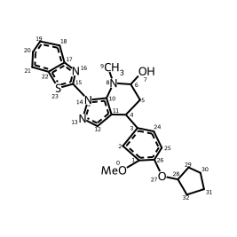 COc1cc(C2CC(O)N(C)c3c2cnn3-c2nc3ccccc3s2)ccc1OC1CCCC1